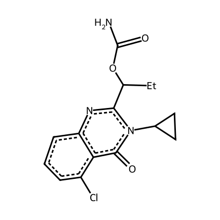 CCC(OC(N)=O)c1nc2cccc(Cl)c2c(=O)n1C1CC1